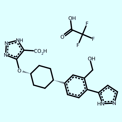 O=C(O)C(F)(F)F.O=C(O)c1[nH]nnc1O[C@H]1CC[C@@H](c2ccc(-c3ccn[nH]3)c(CO)c2)CC1